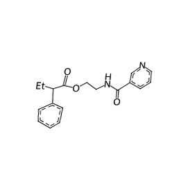 CCC(C(=O)OCCNC(=O)c1cccnc1)c1ccccc1